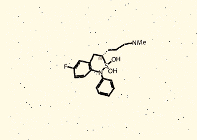 CNCCC[C@H]1Cc2cc(F)ccc2N(c2ccccc2)S1(O)O